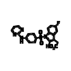 Cc1c(CC(=O)O)c2cc(F)ccc2n1S(=O)(=O)c1ccc(Nc2ncccn2)cc1